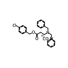 O=C(C[C@@H](C(=O)O)N(Cc1ccccc1)Cc1ccccc1)OCc1ccc(Cl)cc1